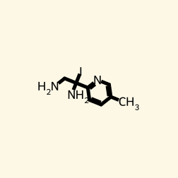 Cc1ccc(C(N)(I)CN)nc1